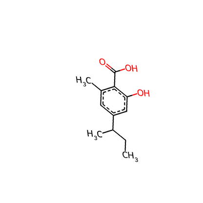 CCC(C)c1cc(C)c(C(=O)O)c(O)c1